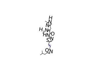 Cc1nc(C[C@H](N)C(=O)Nc2ncc(/C=C/c3ncc(CC(C)C)o3)s2)c[nH]1